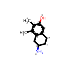 Cc1c(O)cc2c(c1C)CC(N)CC2